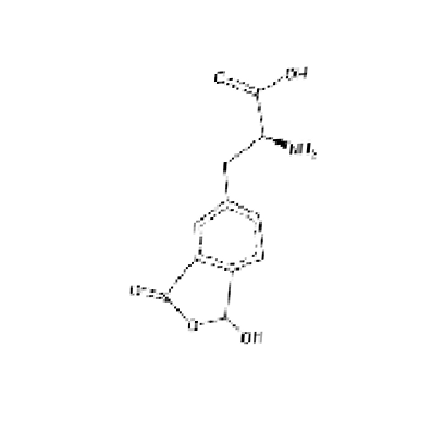 N[C@@H](Cc1ccc2c(c1)C(=O)OC2O)C(=O)O